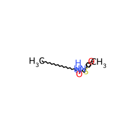 CCCCCCCCCCCCCCCCCCNC(=O)[C@@H]1CSC(c2ccc(OC)cc2)N1